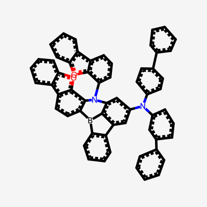 c1ccc(-c2ccc(N(c3cccc(-c4ccccc4)c3)c3cc4c5c(c3)N(c3cccc6c3oc3ccccc36)c3c(ccc6c3oc3ccccc36)B5c3ccccc3-4)cc2)cc1